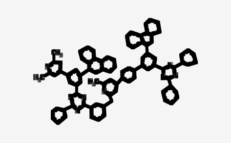 Cc1cc(-c2cc(-c3nc(-c4ccccc4)nc(-c4cccc(Cc5cc(-c6ccc(-c7cc(-c8nc(-c9ccccc9)nc(-c9ccccc9)n8)cc(-c8cc9ccccc9c9ccccc89)c7)cc6)cc(C)n5)c4)n3)cc(-c3cc4ccccc4c4ccccc34)c2)cc(C)n1